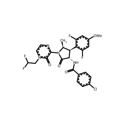 COc1cc(F)c([C@H]2[C@H](NC(=O)c3ccc(Cl)cc3)C(=O)N(c3nccn(CC(F)F)c3=O)[C@H]2C)c(F)c1